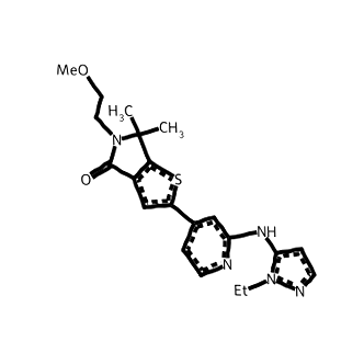 CCn1nccc1Nc1cc(-c2cc3c(s2)C(C)(C)N(CCOC)C3=O)ccn1